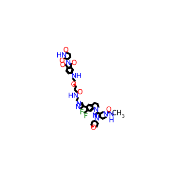 CNC(=O)N1CCc2c(c(N3CCCc4cc(-c5cnn(CCNC(=O)CCOCCNc6ccc7c(c6)C(=O)N(C6CCC(=O)NC6=O)C7=O)c5)c(C(F)F)cc43)nn2C2CCOCC2)C1